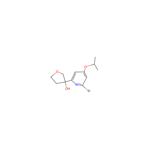 CC(C)Oc1cc(Br)nc(C2(O)CCOC2)c1